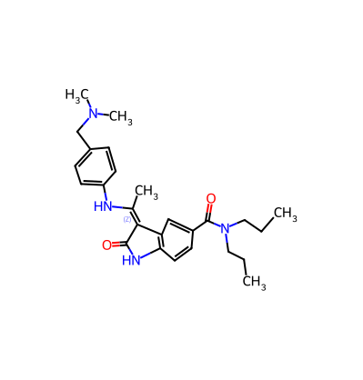 CCCN(CCC)C(=O)c1ccc2c(c1)/C(=C(\C)Nc1ccc(CN(C)C)cc1)C(=O)N2